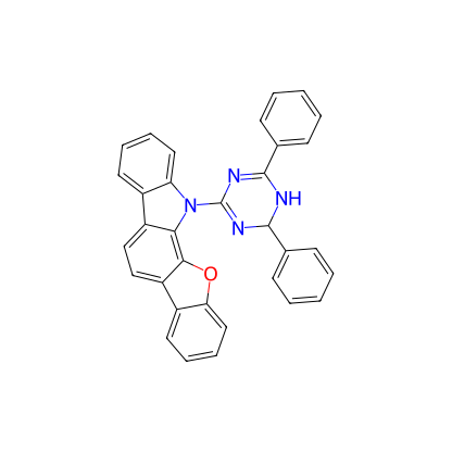 c1ccc(C2=NC(n3c4ccccc4c4ccc5c6ccccc6oc5c43)=NC(c3ccccc3)N2)cc1